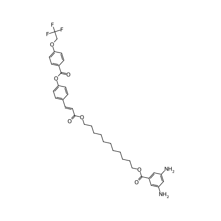 Nc1cc(N)cc(C(=O)OCCCCCCCCCCCOC(=O)C=Cc2ccc(OC(=O)c3ccc(OCC(F)(F)F)cc3)cc2)c1